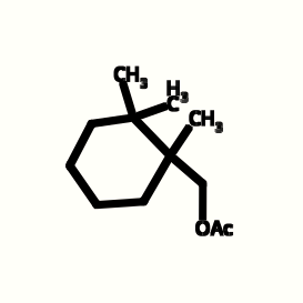 CC(=O)OCC1(C)CCCCC1(C)C